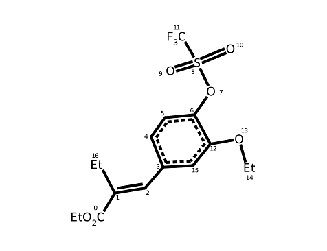 CCOC(=O)/C(=C/c1ccc(OS(=O)(=O)C(F)(F)F)c(OCC)c1)CC